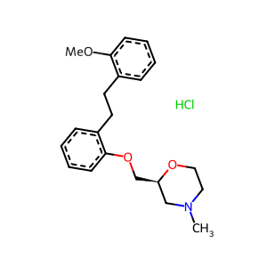 COc1ccccc1CCc1ccccc1OC[C@@H]1CN(C)CCO1.Cl